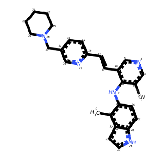 Cc1c(Nc2c(C#N)cncc2C=Cc2ccc(CN3CCCCC3)cn2)ccc2[nH]ccc12